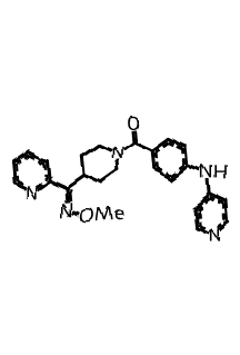 CO/N=C(/c1ccccn1)C1CCN(C(=O)c2ccc(Nc3ccncc3)cc2)CC1